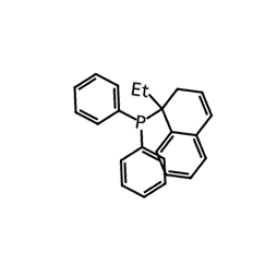 CCC1(P(c2ccccc2)c2ccccc2)CC=Cc2ccccc21